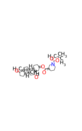 CC(C)(C)OC(=O)N1CCC[C@@H](C(=O)O[C@H]2CC[C@@]3(C)[C@H](C2)C(=O)C[C@@H]2[C@@H]3CC[C@]3(C)C(=O)CC[C@@H]23)C1